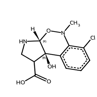 CN1O[C@H]2NCC(C(=O)O)[C@@]2(O)c2cccc(Cl)c21